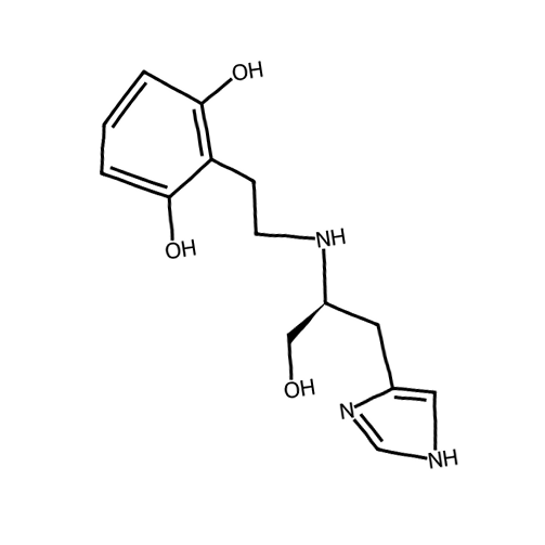 OC[C@H](Cc1c[nH]cn1)NCCc1c(O)cccc1O